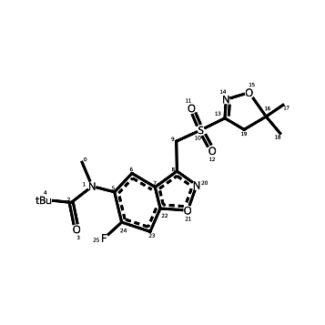 CN(C(=O)C(C)(C)C)c1cc2c(CS(=O)(=O)C3=NOC(C)(C)C3)noc2cc1F